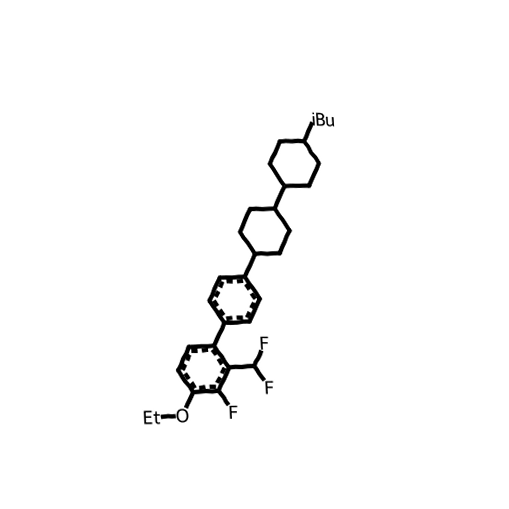 CCOc1ccc(-c2ccc(C3CCC(C4CCC(C(C)CC)CC4)CC3)cc2)c(C(F)F)c1F